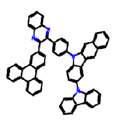 c1ccc2cc3c(cc2c1)c1cc(-n2c4ccccc4c4ccccc42)ccc1n3-c1ccc(-c2nc3ccccc3nc2-c2ccc3c4ccccc4c4ccccc4c3c2)cc1